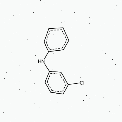 Clc1cccc(Nc2ccccc2)c1